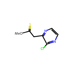 COC(=S)Cc1nccnc1Cl